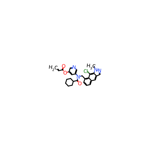 C=CC(=O)Oc1cncc(N(Cc2cccc3cc4cnn(C)c4c(Cl)c23)C(=O)C2CCCCC2)c1